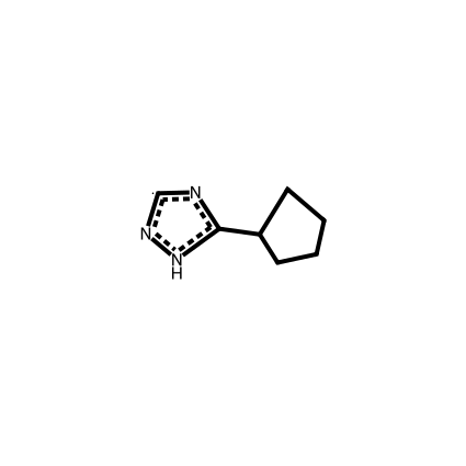 [c]1n[nH]c(C2CCCC2)n1